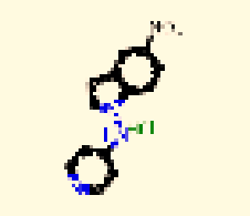 Cl.O=[N+]([O-])c1ccc2c(ccn2Nc2ccncc2)c1